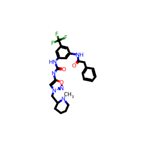 CN1CCCCC1C[n+]1cc([N-]C(=O)Nc2cc(NC(=O)Cc3ccccc3)cc(C(F)(F)F)c2)on1